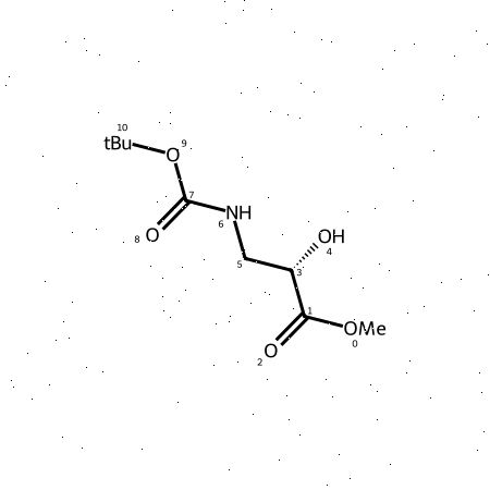 COC(=O)[C@@H](O)CNC(=O)OC(C)(C)C